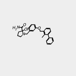 Cc1c(COc2cccc(CN3CCCC3(O)C(N)=O)c2)cccc1-c1ccccc1